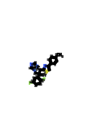 Cc1ccc(-c2csc(C(C)C(Cn3cncn3)(c3cc(F)ccc3F)C(C)C)n2)cc1